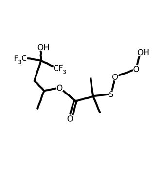 CC(CC(O)(C(F)(F)F)C(F)(F)F)OC(=O)C(C)(C)SOOO